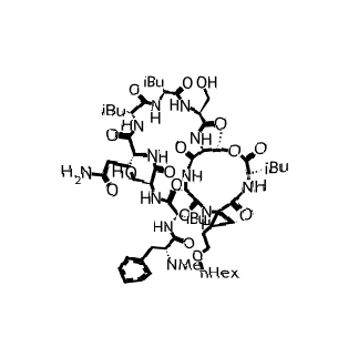 CCCCCCOCCC1CC12NC(=O)[C@H](C)NC(=O)[C@H](NC(=O)[C@H](CO)NC(=O)[C@@H](NC(=O)[C@H](NC(=O)[C@@H](CCC(N)=O)NC(=O)[C@H](CO)NC(=O)[C@@H](NC(=O)[C@@H](Cc1ccccc1)NC)[C@@H](C)CC)[C@@H](C)CC)[C@@H](C)CC)[C@H](C)OC(=O)[C@H]([C@@H](C)CC)NC2=O